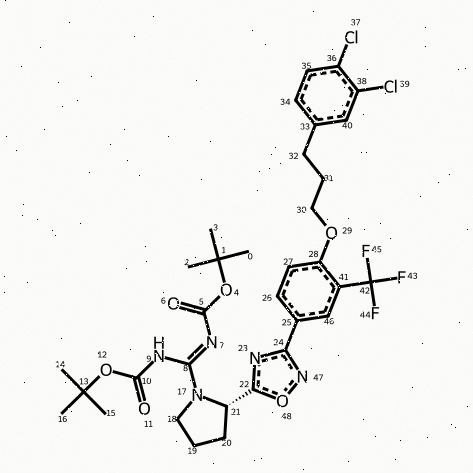 CC(C)(C)OC(=O)/N=C(\NC(=O)OC(C)(C)C)N1CCC[C@H]1c1nc(-c2ccc(OCCCc3ccc(Cl)c(Cl)c3)c(C(F)(F)F)c2)no1